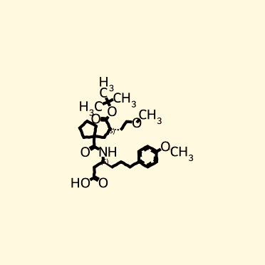 COCC[C@H](CC1(C(=O)N[C@@H](CCCc2ccc(OC)cc2)CC(=O)O)CCCC1)C(=O)OC(C)(C)C